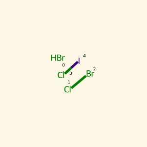 Br.ClBr.ClI